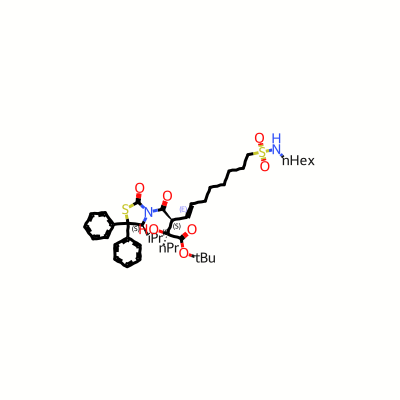 CCCCCCNS(=O)(=O)CCCCCC/C=C/[C@H](C(=O)N1C(=O)SC(c2ccccc2)(c2ccccc2)[C@@H]1C(C)C)[C@@](O)(CCC)C(=O)OC(C)(C)C